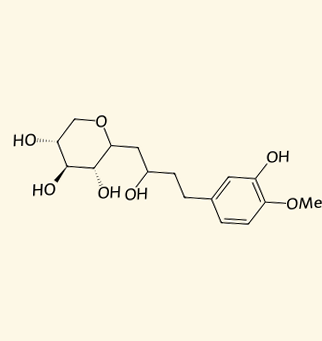 COc1ccc(CCC(O)CC2OC[C@@H](O)[C@H](O)[C@H]2O)cc1O